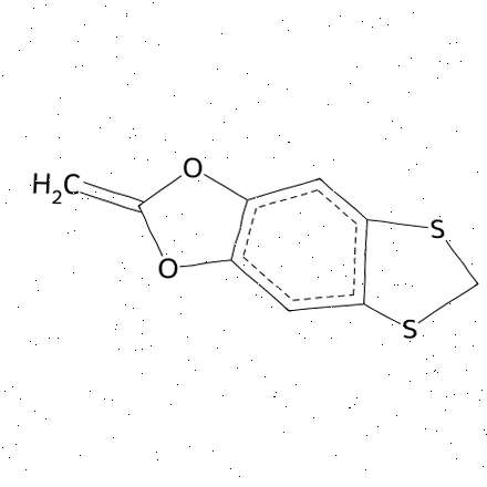 C=C1Oc2cc3c(cc2O1)SCS3